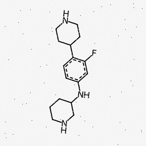 Fc1cc(NC2CCCNC2)ccc1C1CCNCC1